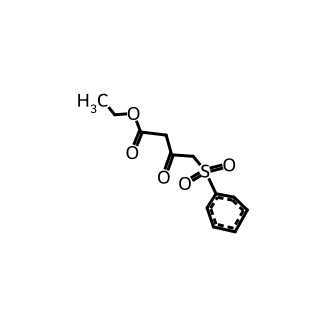 CCOC(=O)CC(=O)CS(=O)(=O)c1ccccc1